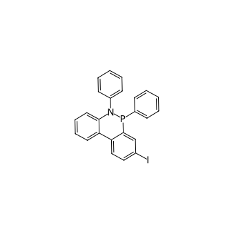 Ic1ccc2c(c1)P(c1ccccc1)N(c1ccccc1)c1ccccc1-2